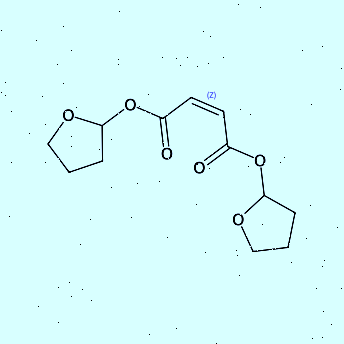 O=C(/C=C\C(=O)OC1CCCO1)OC1CCCO1